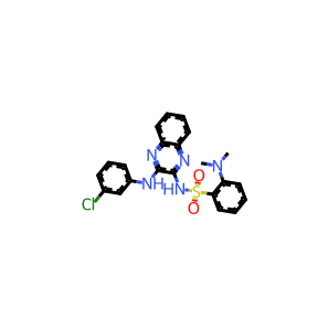 CN(C)c1ccccc1S(=O)(=O)Nc1nc2ccccc2nc1Nc1cccc(Cl)c1